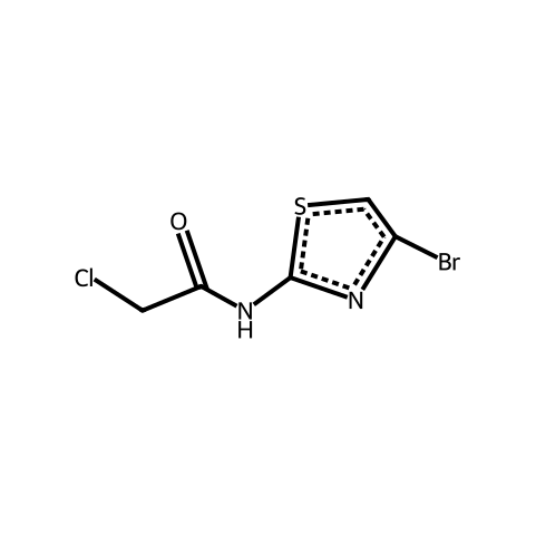 O=C(CCl)Nc1nc(Br)cs1